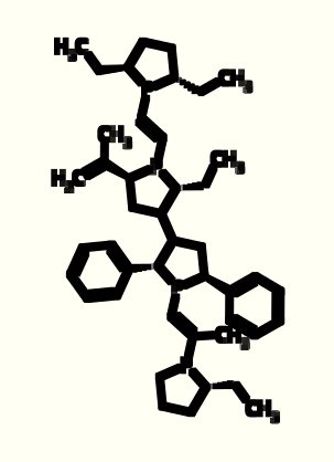 C=C(C)[C@@H]1CC(C2C[C@@H](c3ccccc3)P(/C=C(\C)P3CCC[C@H]3CC)[C@@H]2c2ccccc2)[C@@H](CC)P1/C=C/P1[C@@H](CC)CC[C@@H]1CC